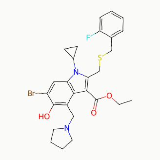 CCOC(=O)c1c(CSCc2ccccc2F)n(C2CC2)c2cc(Br)c(O)c(CN3CCCC3)c12